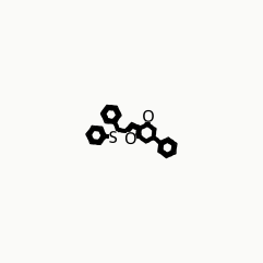 O=C1CC(c2ccccc2)Cc2oc(C(Sc3ccccc3)c3ccccc3)cc21